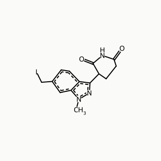 Cn1nc(C2CCC(=O)NC2=O)c2ccc(CI)cc21